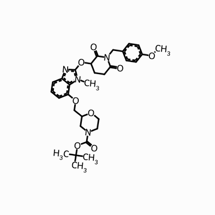 COc1ccc(CN2C(=O)CCC(Oc3nc4cccc(OCC5CN(C(=O)OC(C)(C)C)CCO5)c4n3C)C2=O)cc1